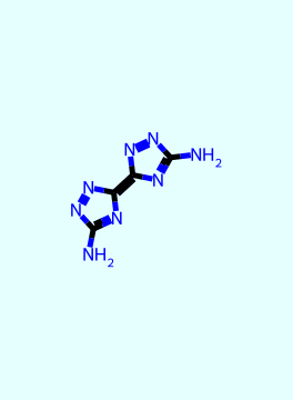 NC1=NC(=C2N=NC(N)=N2)N=N1